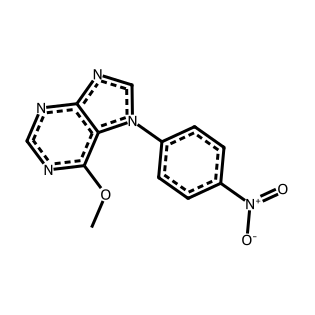 COc1ncnc2ncn(-c3ccc([N+](=O)[O-])cc3)c12